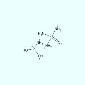 NP(N)(N)=O.NP(O)O